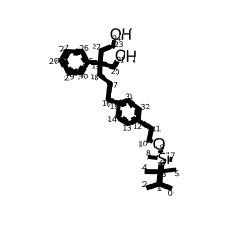 CC(C)C(C)(C)[Si](C)(C)OCCc1ccc(CCCC(CO)(CCO)c2ccccc2)cc1